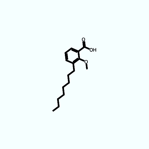 CCCCCCCCc1cccc(C(=O)O)c1OC